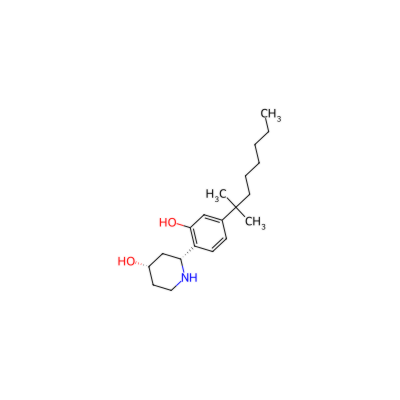 CCCCCCC(C)(C)c1ccc([C@H]2C[C@@H](O)CCN2)c(O)c1